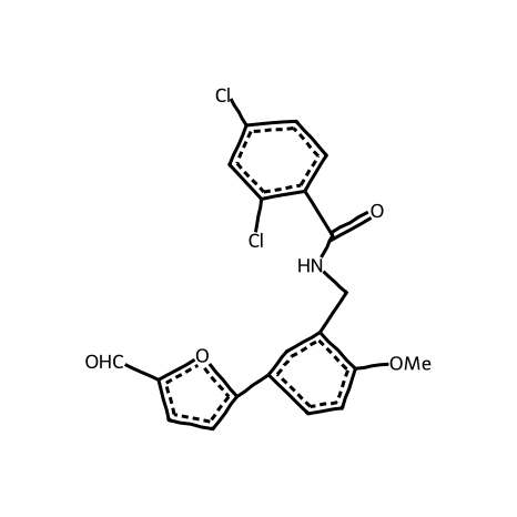 COc1ccc(-c2ccc(C=O)o2)cc1CNC(=O)c1ccc(Cl)cc1Cl